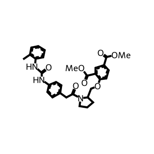 COC(=O)c1ccc(OCC2CCCN2C(=O)Cc2ccc(NC(=O)Nc3ccccc3C)cc2)c(C(=O)OC)c1